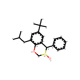 CC(C)Cc1cc(C(C)(C)C)cc2c1OC[S+]([O-])C2c1ccccc1